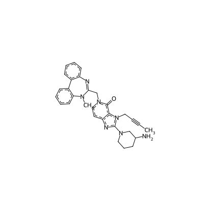 CC#CCn1c(N2CCCC(N)C2)nc2ccn(CC3=Nc4ccccc4-c4ccccc4N3C)c(=O)c21